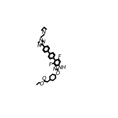 CCOC(=O)CC1CCC(Oc2nc3c(F)c(-c4ccc(-c5ccc(-c6ncn(CCN7CCC7)n6)cc5)cc4)c(F)cc3[nH]2)CC1